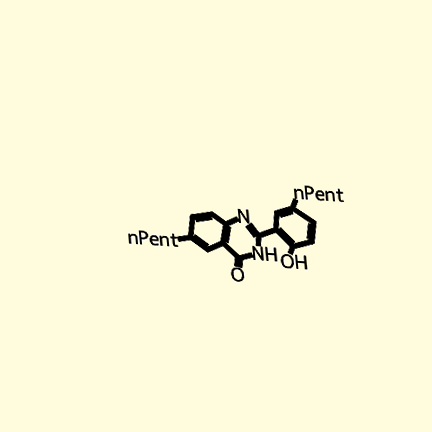 CCCCCc1ccc(O)c(-c2nc3ccc(CCCCC)cc3c(=O)[nH]2)c1